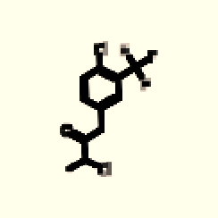 CC(Cl)C(=O)Cc1ccc(Cl)c(C(F)(F)F)c1